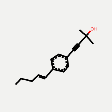 CCCC=Cc1ccc(C#CC(C)(C)O)cc1